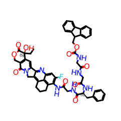 CC[C@@]1(O)C(=O)OCc2c1cc1n(c2=O)Cc2c-1nc1cc(F)c(NC(=O)CNC(=O)[C@H](Cc3ccccc3)NC(=O)CNC(=O)CNC(=O)OCC3c4ccccc4-c4ccccc43)c3c1c2CCC3